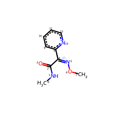 CNC(=O)/C(=N\OC)c1ccccn1